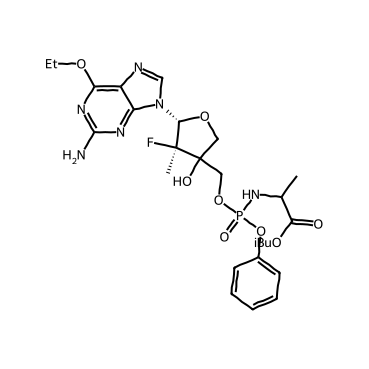 CCOc1nc(N)nc2c1ncn2[C@@H]1OCC(O)(COP(=O)(NC(C)C(=O)OCC(C)C)Oc2ccccc2)[C@@]1(C)F